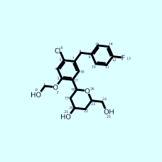 OCOc1cc(Cl)c(Cc2ccc(F)cc2)cc1C1CC(O)CC(CO)O1